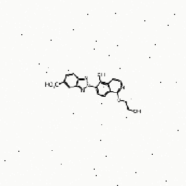 O=C(O)c1ccc2nn(-c3ccc4c(OCCO)nccc4c3O)nc2c1